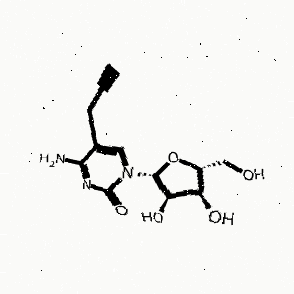 C#CCc1cn([C@@H]2O[C@H](CO)[C@@H](O)[C@H]2O)c(=O)nc1N